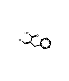 O=C(O)C(=CO)Cc1ccccc1